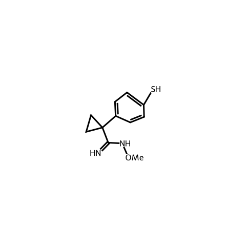 CONC(=N)C1(c2ccc(S)cc2)CC1